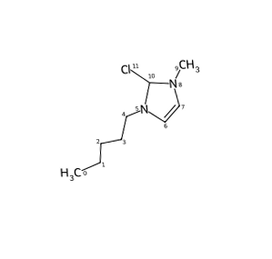 CCCCCN1C=CN(C)C1Cl